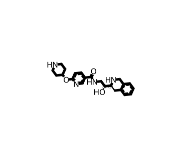 O=C(NC[C@@H](O)[C@@H]1Cc2ccccc2CN1)c1ccc(OC2CCNCC2)nc1